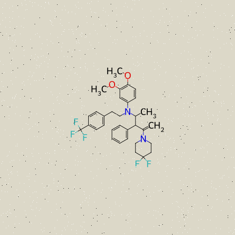 C=C(C(c1ccccc1)C(C)N(CCc1ccc(C(F)(F)F)cc1)c1ccc(OC)c(OC)c1)N1CCC(F)(F)CC1